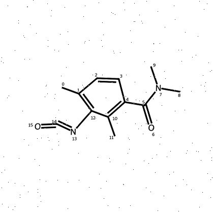 Cc1ccc(C(=O)N(C)C)c(C)c1N=C=O